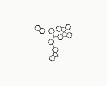 c1cc(-c2ccc3ccccc3c2)cc(N(c2cccc(-c3ccc4sc5ccccc5c4c3)c2)c2ccc3c(c2)C2(c4ccccc4-c4ccccc42)c2ccccc2-3)c1